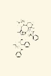 CC(=O)O[C@H]1C(=O)[C@@]2(C)[C@H]([C@H](OC(=O)c3ccccc3)[C@]3(O)C[C@H](OC(=O)[C@H](OC(C)C)[C@@H](NC(=O)c4ccccc4)c4ccccc4)C(C)=C1C3(C)C)[C@]1(OC(C)=O)CO[C@@H]1C[C@@H]2O